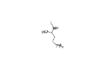 OC(CCP)NI